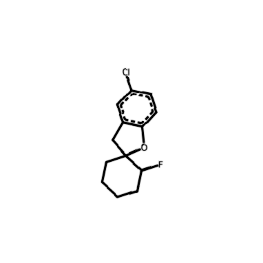 FC1CCCCC12Cc1cc(Cl)ccc1O2